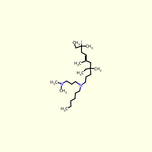 CCCCCCN(CCCN(C)C)CCCC(C)(CC)C/C(C)=C/CC(C)(I)CC